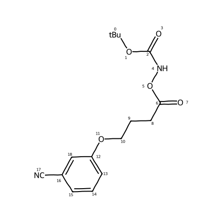 CC(C)(C)OC(=O)NOC(=O)CCCOc1cccc(C#N)c1